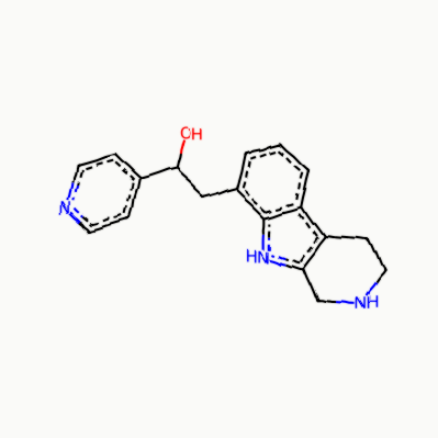 OC(Cc1cccc2c3c([nH]c12)CNCC3)c1ccncc1